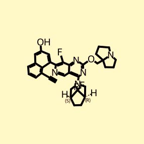 C#Cc1cccc2cc(O)cc(-c3ncc4c(N5C[C@H]6CC[C@@H](C5)C6(F)F)nc(OCC56CCCN5CCC6)nc4c3F)c12